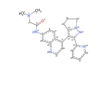 CN(C)CC(=O)Nc1ccc2c(-c3c(-c4ccccn4)nn4c3CCC4)ccnc2c1